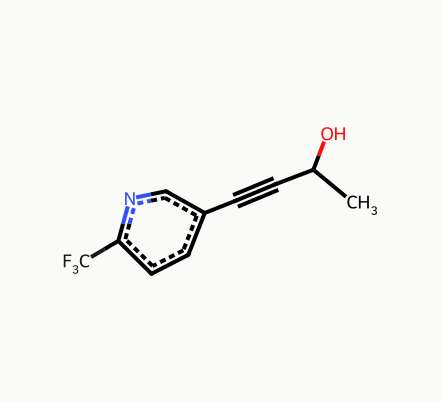 CC(O)C#Cc1ccc(C(F)(F)F)nc1